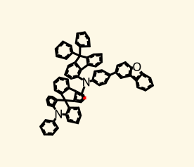 c1ccc(N2c3ccccc3C3(c4ccccc4-c4c(N(c5ccc(-c6ccc7oc8ccccc8c7c6)cc5)c5cccc6c5-c5ccccc5C6(c5ccccc5)c5ccccc5)cccc43)c3ccccc32)cc1